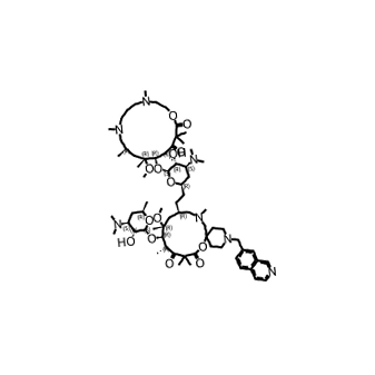 CO[C@]1(C)C[C@@H](C)CN(C)CCCN(C)CCOC(=O)C(C)(C)C(=O)[C@H](C)[C@H]1O[C@@H]1O[C@H](CC[C@H]2CN(C)CC3(CCN(Cc4ccc5ccncc5c4)CC3)OC(=O)C(C)(C)C(=O)[C@H](C)[C@@H](O[C@@H]3O[C@H](C)C[C@H](N(C)C)[C@H]3O)[C@](C)(OC)C2)C[C@H](N(C)C)[C@H]1O